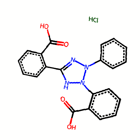 Cl.O=C(O)c1ccccc1C1=NN(c2ccccc2)N(c2ccccc2C(=O)O)N1